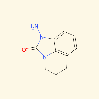 Nn1c(=O)n2c3c(cccc31)CCC2